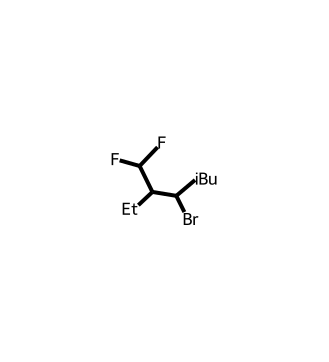 CCC(C)C(Br)C(CC)C(F)F